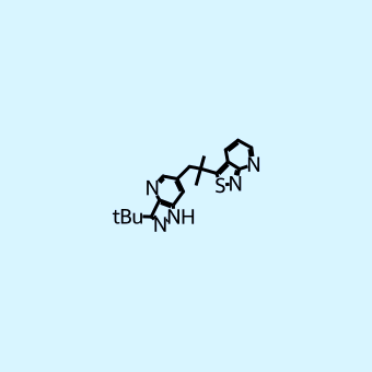 CC(C)(C)c1n[nH]c2cc(CC(C)(C)c3snc4ncccc34)cnc12